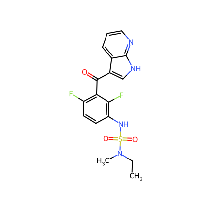 CCN(C)S(=O)(=O)Nc1ccc(F)c(C(=O)c2c[nH]c3ncccc23)c1F